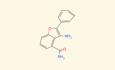 NC(=O)c1cccc2oc(-c3ccccc3)c(N)c12